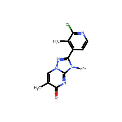 CCCn1c(-c2ccnc(Cl)c2C)nn2cc(C)c(=O)nc12